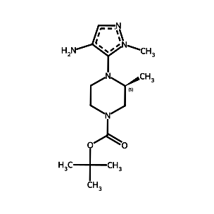 C[C@H]1CN(C(=O)OC(C)(C)C)CCN1c1c(N)cnn1C